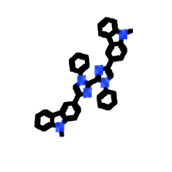 Cn1c2ccccc2c2cc(-c3cn(-c4ccccc4)c(-c4nc(-c5ccc6c(c5)c5ccccc5n6C)cn4-c4ccccc4)n3)ccc21